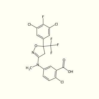 CN(C1=NOC(c2cc(Cl)c(F)c(Cl)c2)(C(F)(F)F)C1)c1ccc(Cl)c(C(=O)O)c1